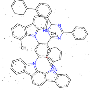 Cc1cccc2c3cccc(C)c3n(-c3cc(-n4c5ccccc5c5ccc6c7ccccc7n(C7=CCCC=C7)c6c54)c(C#N)cc3C3=NC(c4ccccc4)=NC(c4cccc(C5=CC=CCC5)c4)N3)c12